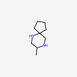 CC1CNC2(CCCC2)CN1